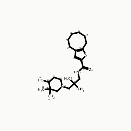 CC(C)(CNC(=O)c1cc2c(s1)CCCCCC2)CN1CCC(O)C(C)(C)C1